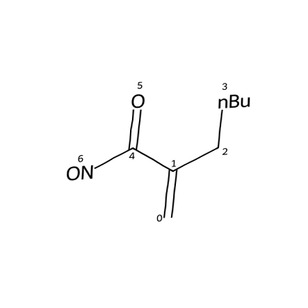 C=C(CCCCC)C(=O)N=O